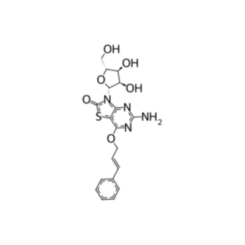 Nc1nc(OC/C=C/c2ccccc2)c2sc(=O)n([C@@H]3O[C@H](CO)[C@@H](O)[C@H]3O)c2n1